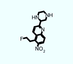 O=[N+]([O-])c1ccc2nc(C3CNCCN3)ccc2c1CCF